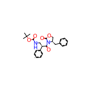 CC(C)(C)OC(=O)NC[C@@H](C(=O)N1C(=O)OC[C@H]1Cc1ccccc1)c1cc[c]cc1